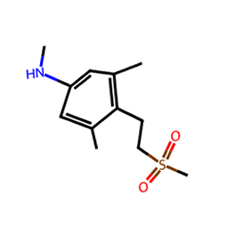 CNc1cc(C)c(CCS(C)(=O)=O)c(C)c1